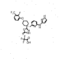 Fc1c(O[C@H]2CC[C@](Cc3cccc(Nc4cc[nH]n4)n3)(c3n[nH]c(=S)o3)CC2)cccc1C(F)(F)F.O=C(O)C(F)(F)F